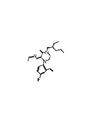 C=Cc1cc(F)ccc1N1CCN(CC(CC)CCC)C(=C)/C1=C\N=C/C